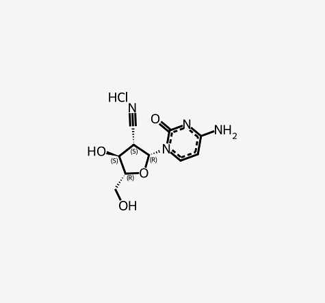 Cl.N#C[C@H]1[C@H](O)[C@@H](CO)O[C@H]1n1ccc(N)nc1=O